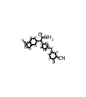 Cc1ccc(Cn2ncc(C(C(N)=O)c3ccc4c(cnn4C)c3)n2)cc1C#N